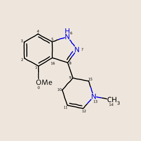 COc1cccc2[nH]nc(C3CC=CN(C)C3)c12